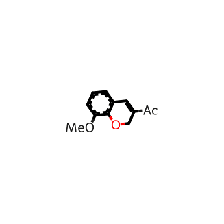 COc1cccc2c1OCC(C(C)=O)=C2